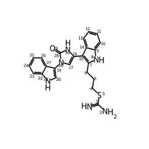 N=C(N)SCCCc1[nH]c2ccccc2c1-c1cn(-c2c[nH]c3ccccc23)c(=O)[nH]1